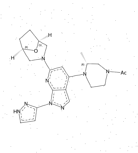 CC(=O)N1CCN(c2cc(N3C[C@H]4CC[C@@H](C3)O4)nc3c2cnn3-c2cc[nH]n2)[C@H](C)C1